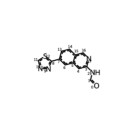 O=CNc1cc2cc(-c3nncs3)ccc2cn1